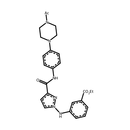 CCOC(=O)c1cccc(Nn2ccc(C(=O)Nc3ccc(N4CCN(C(C)=O)CC4)cc3)n2)c1